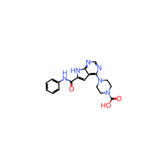 O=C(Nc1ccccc1)c1cc2c(N3CCN(C(=O)O)CC3)ncnc2[nH]1